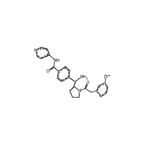 COc1cccc(CC(=O)N2CCCC2C(N)c2ccc(C(=O)Nc3ccncc3)cc2)c1